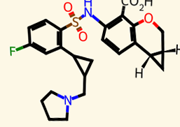 O=C(O)c1c(NS(=O)(=O)c2ccc(F)cc2C2CC2CN2CCCC2)ccc2c1OC[C@@H]1C[C@H]21